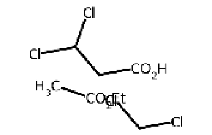 CCOC(C)=O.ClCCl.O=C(O)CC(Cl)Cl